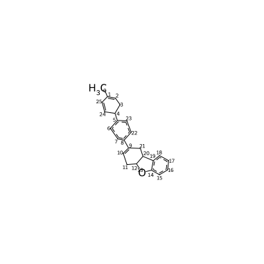 CC1=CCC(c2ccc(C3=CCC4Oc5ccccc5C4C3)cc2)C=C1